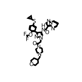 O=C(Nc1cn(CC(=O)N2CCN(CC3CCOCC3)CC2)nc1-c1cc(SC2CC2)ccc1OC(F)F)c1cnn2cccnc12